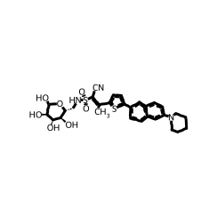 C/C(=C(/C#N)S(=O)(=O)NC[C@H]1OC(O)[C@H](O)[C@@H](O)[C@@H]1O)c1ccc(-c2ccc3cc(N4CCCCC4)ccc3c2)s1